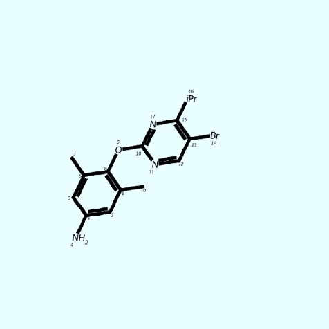 Cc1cc(N)cc(C)c1Oc1ncc(Br)c(C(C)C)n1